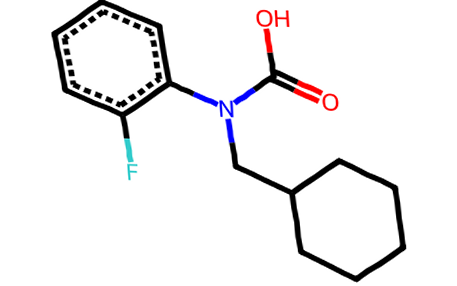 O=C(O)N(CC1CCCCC1)c1ccccc1F